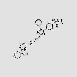 NS(=O)(=O)c1ccc(-c2oc(/C=C/COCc3cccc(C4(O)CCOCC4)n3)nc2-c2ccccc2)cc1